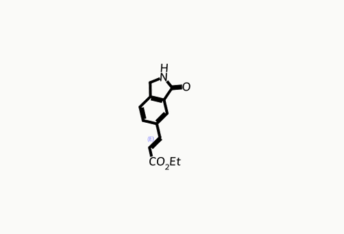 CCOC(=O)/C=C/c1ccc2c(c1)C(=O)NC2